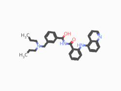 CCCN(CCC)Cc1cccc(C(O)NC(=O)c2ccccc2Nc2cccc3ncccc23)c1